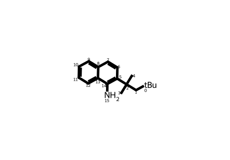 CC(C)(C)CC(C)(C)c1ccc2ccccc2c1N